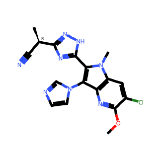 COc1nc2c(-n3ccnc3)c(-c3nc([C@H](C)C#N)n[nH]3)n(C)c2cc1Cl